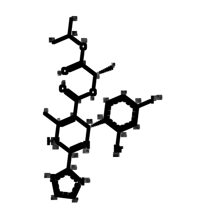 CC1=C(C(=O)O[C@@H](C)C(=O)OC(C)C)[C@H](c2ccc(F)cc2Br)N=C(c2nccs2)N1